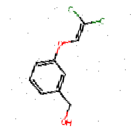 OCc1cccc(OC=C(Cl)Cl)c1